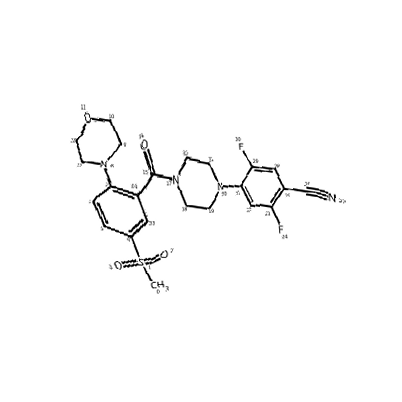 CS(=O)(=O)c1ccc(N2CCOCC2)c(C(=O)N2CCN(c3cc(F)c(C#N)cc3F)CC2)c1